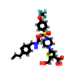 CCCc1ccc(CNC(=O)[C@H]2CN(c3cc(C(=O)O)c(CO)s3)CCN2S(=O)(=O)c2ccc(OC(F)(F)F)cc2)cc1